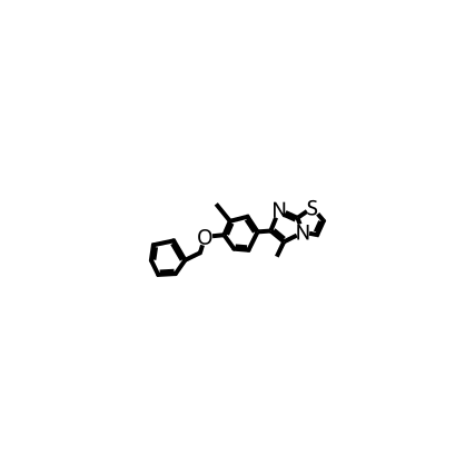 Cc1cc(-c2nc3sccn3c2C)ccc1OCc1ccccc1